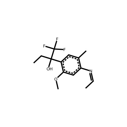 C/C=N\c1cc(OC)c(C(O)(CC)C(F)(F)F)cc1C